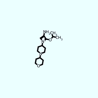 CC(C)OC1=[N+](C2CCN(C3CCOCC3)CC2)C=C1N